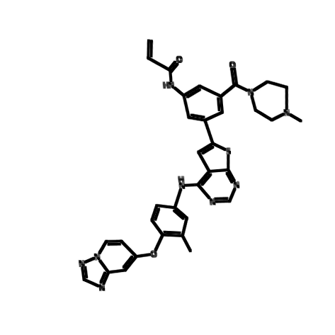 C=CC(=O)Nc1cc(C(=O)N2CCN(C)CC2)cc(-c2cc3c(Nc4ccc(Oc5ccn6ncnc6c5)c(C)c4)ncnc3s2)c1